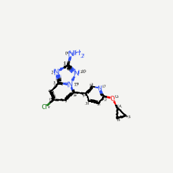 Nc1nc2cc(Cl)cc(-c3ccc(OC4CC4)nc3)n2n1